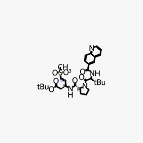 CC(C)(C)OC(=O)C[C@@H](/C=C/S(C)(=O)=O)NC(=O)[C@H]1CCCN1C(=O)C(NC(=O)c1ccc2ncccc2c1)C(C)(C)C